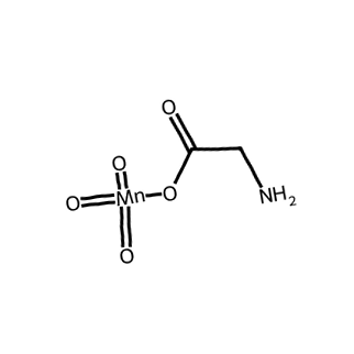 NCC(=O)[O][Mn](=[O])(=[O])=[O]